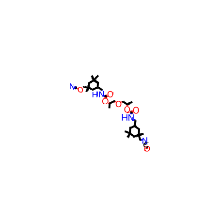 CC(COCC(C)OC(=O)NCC1CC(C)(C)CC(C)(COC#N)C1)OC(=O)NCC1CC(C)(C)CC(C)(CN=C=O)C1